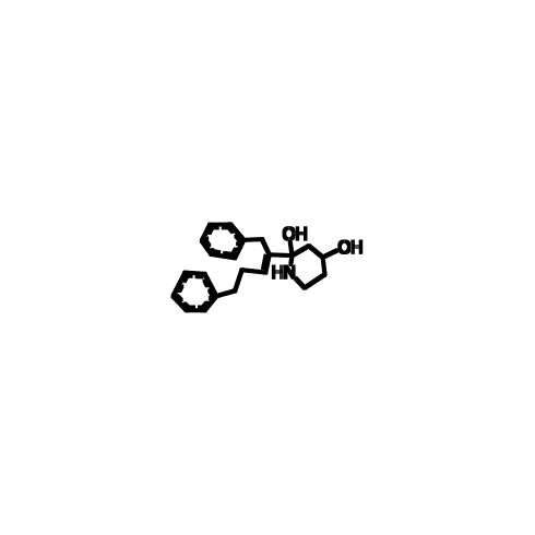 OC1CCNC(O)(C(=CCCc2ccccc2)Cc2ccccc2)C1